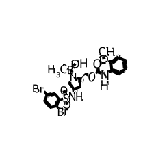 COc1ccccc1NC(=O)OC[C@H]1C[C@@H](NS(=O)(=O)c2cc(Br)ccc2Br)CN1B(C)O